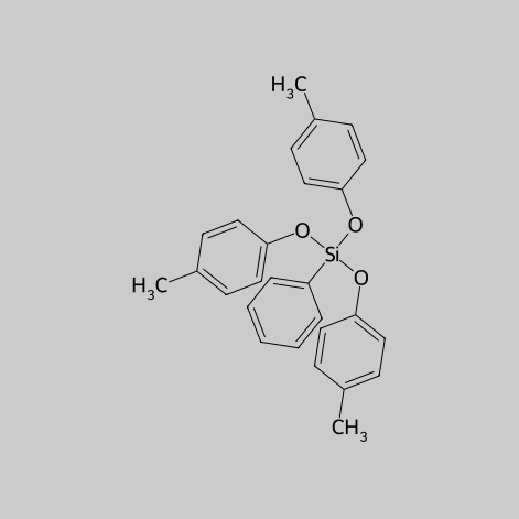 Cc1ccc(O[Si](Oc2ccc(C)cc2)(Oc2ccc(C)cc2)c2ccccc2)cc1